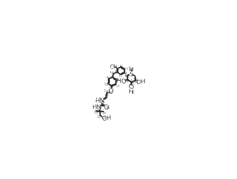 C[SH]1C[C@@H](O)[C@@H](O)[C@@H](O)[C@@H]1c1ccc(Cl)c(Cc2ccc(OCCNC(=O)NC(C)(C)CO)cc2)c1